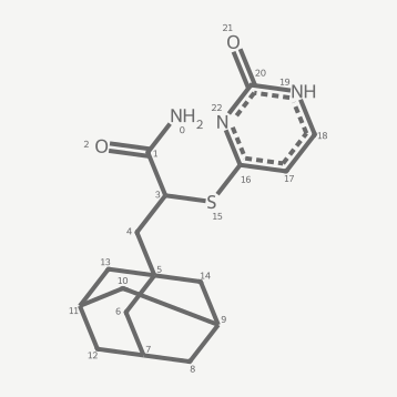 NC(=O)C(CC12CC3CC(CC(C3)C1)C2)Sc1cc[nH]c(=O)n1